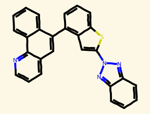 c1cnc2c(c1)cc(-c1cccc3sc(-n4nc5ccccc5n4)cc13)c1ccccc12